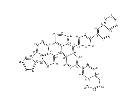 C1=C(c2ccc3ccccc3c2)CCC(c2c3ccccc3c(-c3ccc4c5c(cccc35)-c3ccccc3-4)c3ccc(-c4ccc5nccnc5c4)cc23)=C1